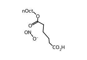 CCCCCCCCOC(=O)CCCCC(=O)O.O=[NH+][O-]